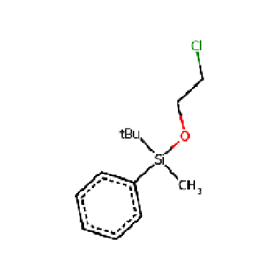 CC(C)(C)[Si](C)(OCCCl)c1ccccc1